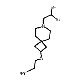 CCCC(CC)CN1CCC2(CC1)CC(OCCC(C)C)C2